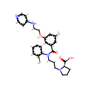 O=C(O)[C@H]1CCCN1CCCN(C(=O)c1cc(Cl)cc(OCCNc2ccncc2)c1)c1ccccc1F